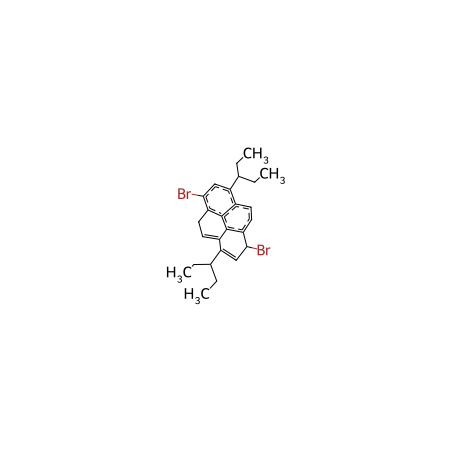 CCC(CC)C1=CC(Br)c2ccc3c(C(CC)CC)cc(Br)c4c3c2C1=CC4